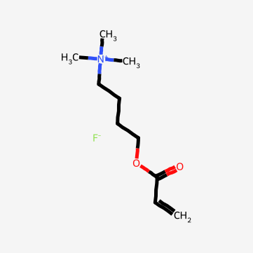 C=CC(=O)OCCCC[N+](C)(C)C.[F-]